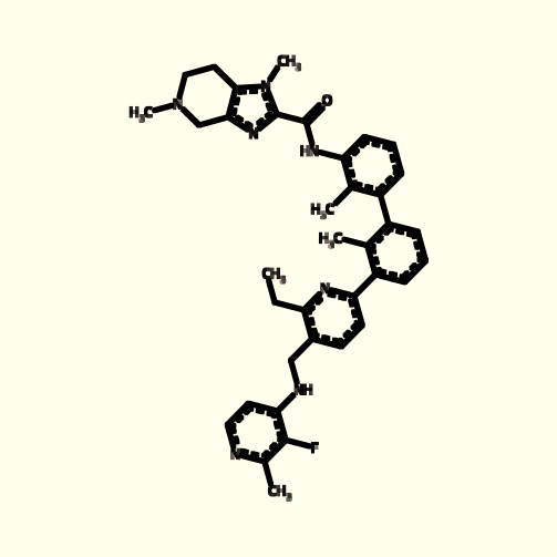 CCc1nc(-c2cccc(-c3cccc(NC(=O)c4nc5c(n4C)CCN(C)C5)c3C)c2C)ccc1CNc1ccnc(C)c1F